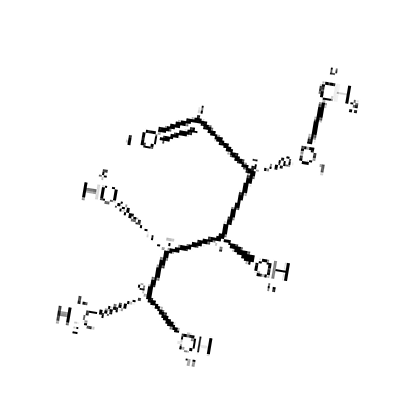 CO[C@@H](C=O)[C@@H](O)[C@@H](O)[C@@H](C)O